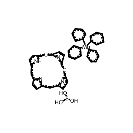 C1=Cc2cc3ccc(cc4nc(cc5ccc(cc1n2)[nH]5)C=C4)[nH]3.OB(O)O.c1cc[c]([Mn]([c]2ccccc2)([c]2ccccc2)[c]2ccccc2)cc1